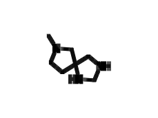 CN1CCC2(CNCN2)C1